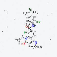 N#Cc1ccc(C(=O)N(CC2CC2)c2cccc(C(=O)Nc3c(Br)cc(C(F)(C(F)(F)F)C(F)(F)F)cc3C(F)(F)F)c2F)cn1